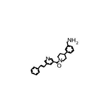 NCc1cccc(C2CCN(C(=O)c3cncc(C=Cc4ccccc4)c3)CC2)c1